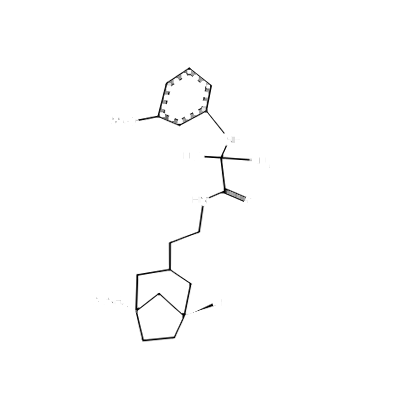 COc1cccc(NC(C)(C)C(=O)NCCC2C[C@@H]3CC[C@@](NC(C)=O)(C2)C3)c1